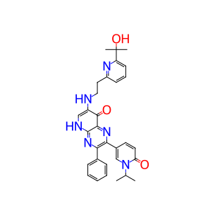 CC(C)n1cc(-c2nc3c(=O)c(NCCc4cccc(C(C)(C)O)n4)c[nH]c3nc2-c2ccccc2)ccc1=O